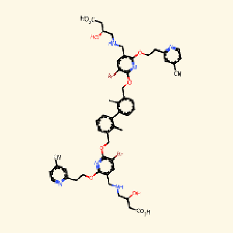 Cc1c(COc2nc(OCCc3cc(C#N)ccn3)c(CNC[C@@H](O)CC(=O)O)cc2Br)cccc1-c1cccc(COc2nc(OCCc3cc(C#N)ccn3)c(CNC[C@@H](O)CC(=O)O)cc2Br)c1C